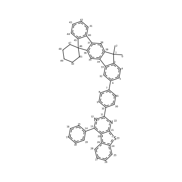 CC1(C)c2ccc(-c3ccc(-c4nc(-c5ccccc5)c5c(n4)sc4ccccc45)cc3)cc2-c2cc3c(cc21)-c1ccccc1C31CCCCC1